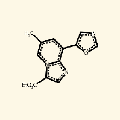 CCOC(=O)c1cnc2c(-c3cnco3)cc(C)cn12